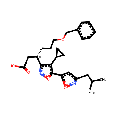 CC(C)Cc1cc(-c2onc([C@@H](CCCOCc3ccccc3)CC(=O)O)c2C2CC2)on1